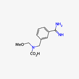 COCN(Cc1cccc(C(=N)N)c1)C(=O)O